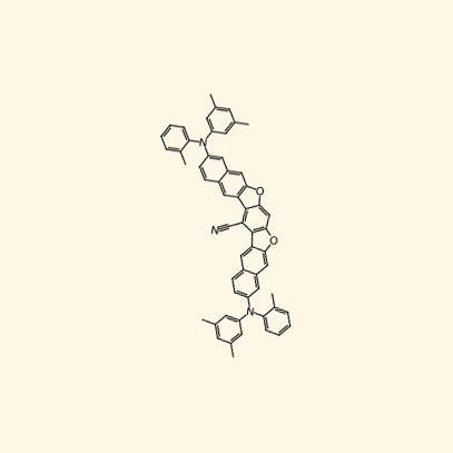 Cc1cc(C)cc(N(c2ccc3cc4c(cc3c2)oc2cc3oc5cc6cc(N(c7cc(C)cc(C)c7)c7ccccc7C)ccc6cc5c3c(C#N)c24)c2ccccc2C)c1